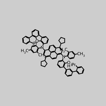 Cc1ccc(N(c2cccc(-c3cccc(-c4ccccc4C(C)C)c3)c2O)c2cc(C3CCCC3)c3ccc4c(N(c5ccc(C)cc5C)c5cccc6c5oc5c(-c7ccccc7C(C)C)cccc56)cc(C5CCCC5)c5ccc2c3c54)c(C)c1